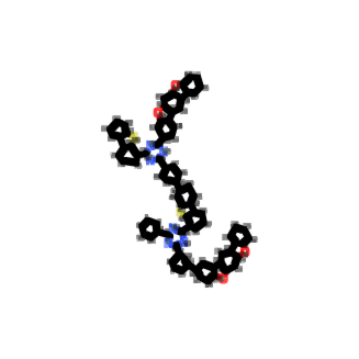 c1ccc(-c2nc(-c3cccc(-c4ccc5oc6cc7oc8ccccc8c7cc6c5c4)c3)nc(-c3cccc4c3sc3cc(-c5ccc(-c6nc(-c7ccc8c(c7)oc7cc9oc%10ccccc%10c9cc78)nc(-c7cccc8c7sc7ccccc78)n6)cc5)ccc34)n2)cc1